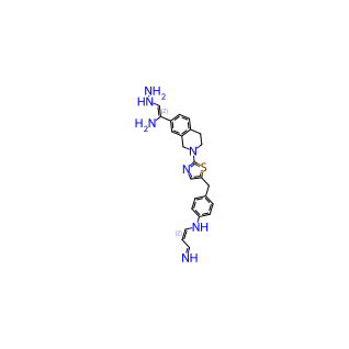 N=C/C=C\Nc1ccc(Cc2cnc(N3CCc4ccc(/C(N)=C/NN)cc4C3)s2)cc1